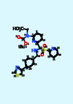 CC(C)(C)OC(=O)N(CC(=O)O)c1cccc(C(NCc2ccc(-c3cscn3)cc2)S(=O)(=O)c2ccccn2)n1